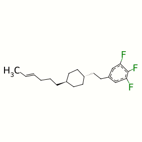 C/C=C/CCC[C@H]1CC[C@H](CCc2cc(F)c(F)c(F)c2)CC1